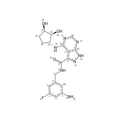 Nc1cc(F)cc(CNC(=O)c2n[nH]c3ncnc(N[C@@H]4CC[C@@H](O)[C@H]4O)c23)c1